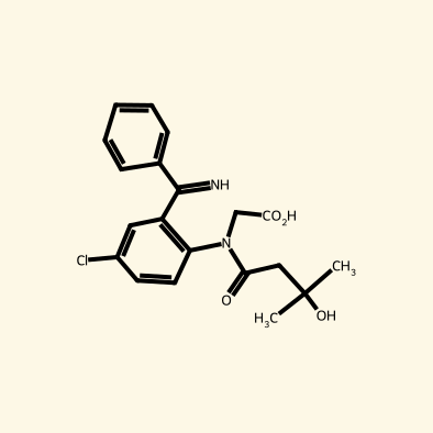 CC(C)(O)CC(=O)N(CC(=O)O)c1ccc(Cl)cc1C(=N)c1ccccc1